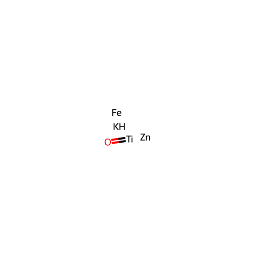 [Fe].[KH].[O]=[Ti].[Zn]